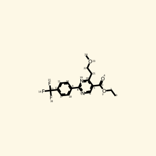 CCOC(=O)c1cnc(-c2ccc(C(F)(F)F)cc2)nc1CCOC